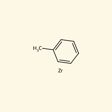 Cc1ccccc1.[Zr]